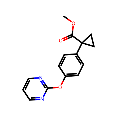 COC(=O)C1(c2ccc(Oc3ncccn3)cc2)CC1